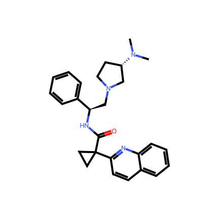 CN(C)[C@H]1CCN(C[C@@H](NC(=O)C2(c3ccc4ccccc4n3)CC2)c2ccccc2)C1